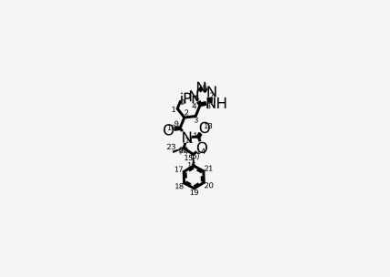 CC(C)CC(Cc1nnn[nH]1)C(=O)N1C(=O)O[C@@H](c2ccccc2)[C@H]1C